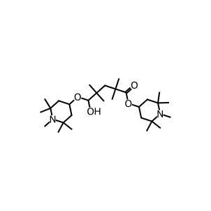 CN1C(C)(C)CC(OC(=O)C(C)(C)CC(C)(C)C(O)OC2CC(C)(C)N(C)C(C)(C)C2)CC1(C)C